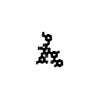 COc1cccc(CNC[C@H](O)[C@H](Cc2cc(F)cc(F)c2)NC(=O)c2cc(C)cc(C(=O)c3ccccc3C)c2)c1